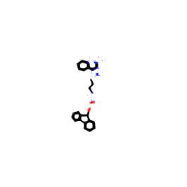 Nc1nc2ccccc2c2c1ncn2CCCCNC(=O)OCC1c2ccccc2-c2ccccc21